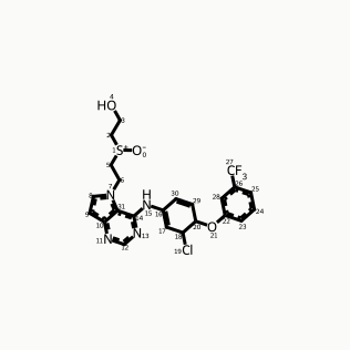 [O-][S+](CCO)CCn1ccc2ncnc(NC3=CC(Cl)C(Oc4cccc(C(F)(F)F)c4)C=C3)c21